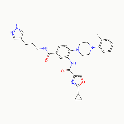 Cc1ccccc1N1CCN(c2ccc(C(=O)NCCCc3cn[nH]c3)cc2NC(=O)c2coc(C3CC3)n2)CC1